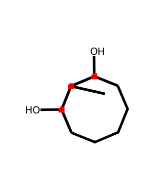 OC1C2CCCC3CC1CC(C2)C3O